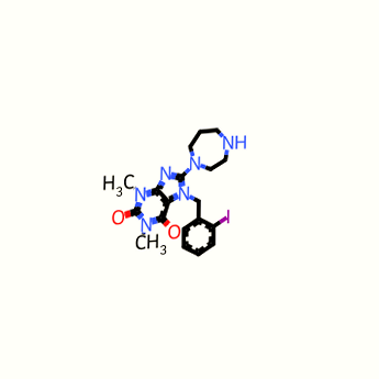 Cn1c(=O)c2c(nc(N3CCCNCC3)n2Cc2ccccc2I)n(C)c1=O